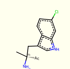 CC(=O)[C@@](C)(N)Cc1c[nH]c2cc(Cl)ccc12